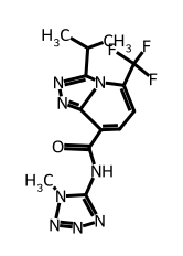 CC(C)c1nnc2c(C(=O)Nc3nnnn3C)ccc(C(F)(F)F)n12